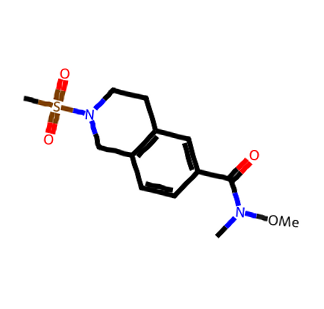 CON(C)C(=O)c1ccc2c(c1)CCN(S(C)(=O)=O)C2